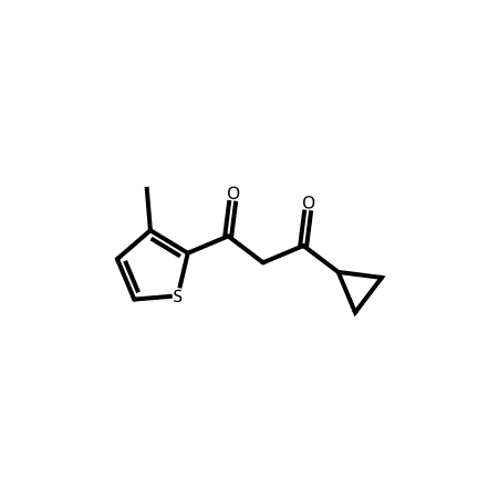 Cc1ccsc1C(=O)CC(=O)C1CC1